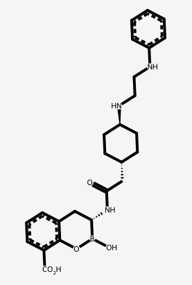 O=C(C[C@H]1CC[C@H](NCCNc2ccccc2)CC1)N[C@H]1Cc2cccc(C(=O)O)c2OB1O